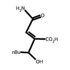 CCCCC(O)/C(=C/C(N)=O)C(=O)O